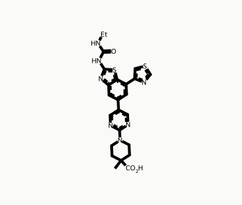 CCNC(=O)Nc1nc2cc(-c3cnc(N4CCC(C)(C(=O)O)CC4)nc3)cc(-c3cscn3)c2s1